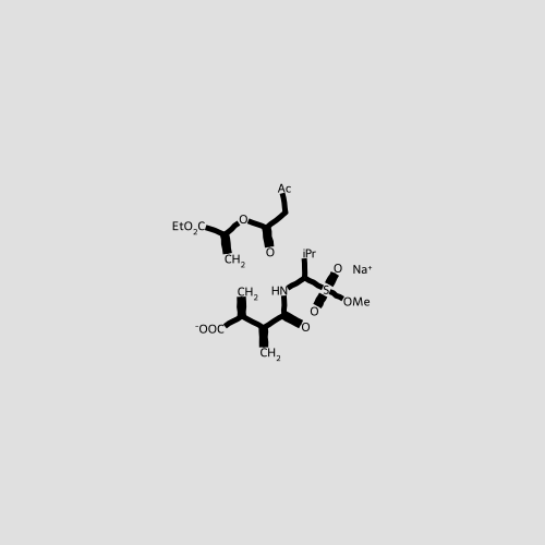 C=C(C(=C)C(=O)NC(C(C)C)S(=O)(=O)OC)C(=O)[O-].C=C(OC(=O)CC(C)=O)C(=O)OCC.[Na+]